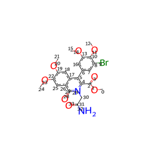 COC(=O)c1c(-c2cc(Br)c(OC)c(OC)c2)c2cc(OC)c(OC)cc2c(=O)n1CC(N)=O